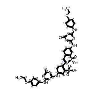 CCOc1ccc(Nc2nc(Cl)nc(Nc3ccc(/C=C/c4ccc(Nc5nc(Cl)nc(Nc6ccc(OCC)cc6)n5)cc4S(=O)(=O)O)c(S(=O)(=O)O)c3)n2)cc1